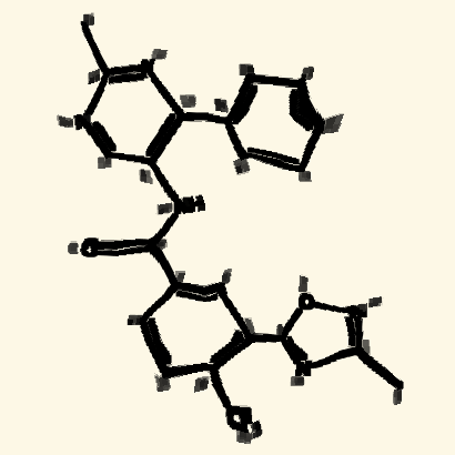 Cc1noc(-c2cc(C(=O)Nc3cnc(C)nc3-c3ccccc3)ccc2C(F)(F)F)n1